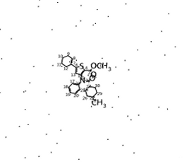 COC(=O)c1sc(C2=CCCCC2)cc1N(c1ccccc1)C(=O)[C@H]1CC[C@H](C)CC1